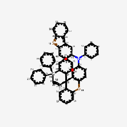 c1ccc(N(c2ccc3c(c2)C2(c4ccccc4S3)c3ccccc3[Si](c3ccccc3)(c3ccccc3)c3ccccc32)c2ccc3sc4ccccc4c3c2)cc1